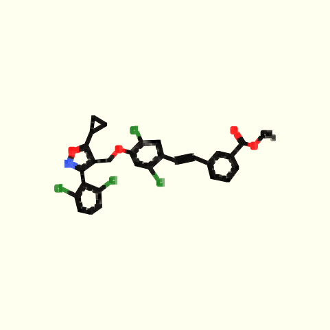 COC(=O)c1cccc(C#Cc2cc(Cl)c(OCc3c(-c4c(Cl)cccc4Cl)noc3C3CC3)cc2Cl)c1